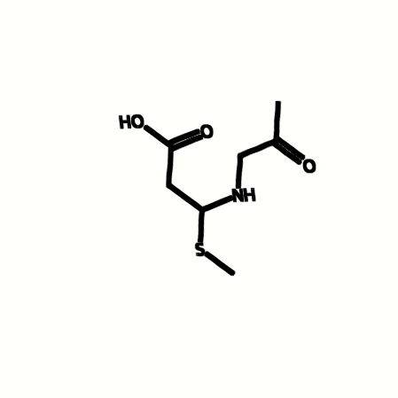 CSC(CC(=O)O)NCC(C)=O